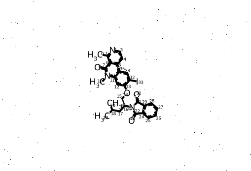 Cc1nccc2c1c(=O)n(C)c1cc(OC[C@H](CC(C)C)N3C(=O)c4ccccc4C3=O)c(I)cc21